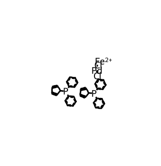 C1#CC(P(c2ccccc2)c2ccccc2)C#C1.C1#CC(P(c2ccccc2)c2ccccc2)C#C1.[Cl][Pd][Cl].[Fe+2]